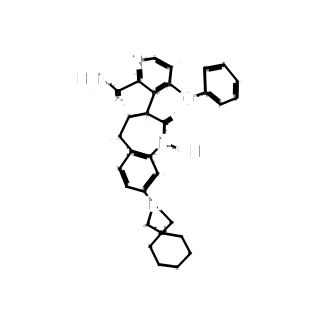 CN1C(=O)C(c2c(Oc3ccccc3)ccnc2C(N)=O)CCc2ccc(N3CC4(CCCCC4)C3)cc21